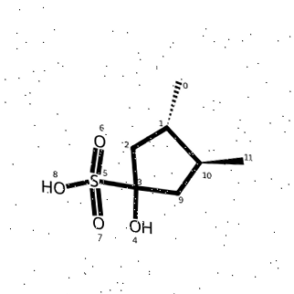 C[C@H]1CC(O)(S(=O)(=O)O)C[C@@H]1C